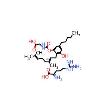 CCCCCc1cc(O)c(C/C=C(\C)CCC=C(C)C)c(OC(=O)NCC(=O)O)c1.N=C(N)NCCC[C@H](N)C(=O)O